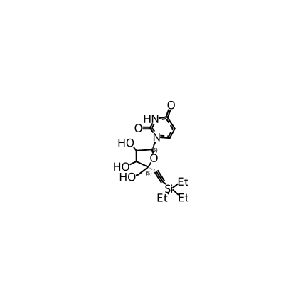 CC[Si](C#C[C@@]1(CO)O[C@H](n2ccc(=O)[nH]c2=O)C(O)C1O)(CC)CC